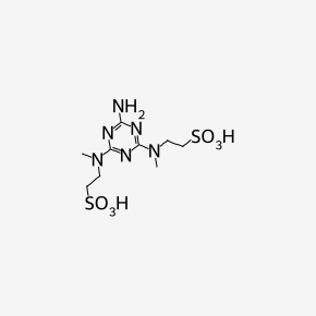 CN(CCS(=O)(=O)O)c1nc(N)nc(N(C)CCS(=O)(=O)O)n1